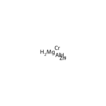 [AlH3].[Cr].[MgH2].[Zn]